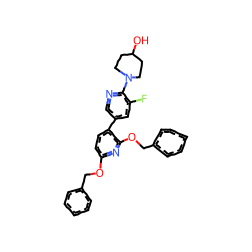 OC1CCN(c2ncc(-c3ccc(OCc4ccccc4)nc3OCc3ccccc3)cc2F)CC1